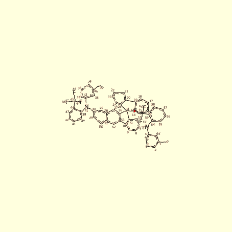 Cc1cccc(N(c2ccc3c(c2)C2(c4ccccc4-c4ccccc42)c2cc4cc(N(c5cccc(C)c5)c5ccccc5C(F)(F)F)ccc4cc2-3)c2ccccc2C(F)(F)F)c1